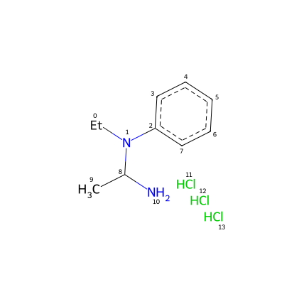 CCN(c1ccccc1)C(C)N.Cl.Cl.Cl